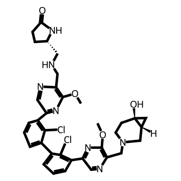 COc1nc(-c2cccc(-c3cccc(-c4cnc(CN5CC[C@]6(O)C[C@@H]6C5)c(OC)n4)c3Cl)c2Cl)cnc1CNC[C@@H]1CCC(=O)N1